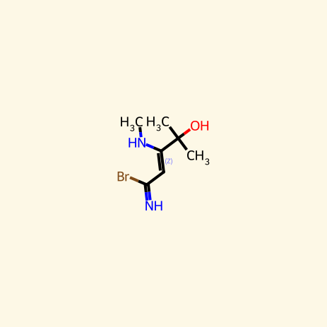 CN/C(=C\C(=N)Br)C(C)(C)O